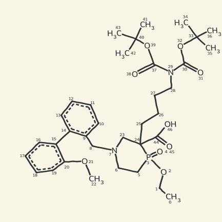 CCOP1(=O)CCN(Cc2ccccc2-c2ccccc2OC)CC1(CCCCN(C(=O)OC(C)(C)C)C(=O)OC(C)(C)C)C(=O)O